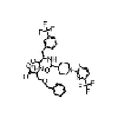 O=C(NC(COCc1ccccc1)C(=O)O)C(=Cc1cccc(C(F)(F)F)c1)NC(=O)C1CCN(c2nccc(C(F)(F)F)n2)CC1